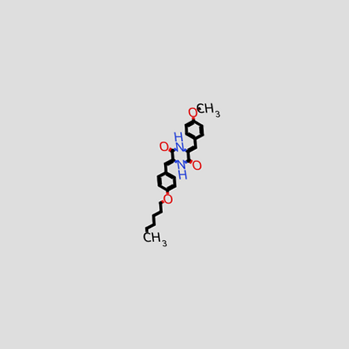 CCCCCCOc1ccc(/C=c2\[nH]c(=O)/c(=C/c3ccc(OC)cc3)[nH]c2=O)cc1